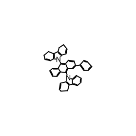 C1=Cc2c(c3c(n2-c2c4ccccc4c(-n4c5c(c6ccccc64)CCC=C5)c4cc(-c5ccccc5)ccc24)C=CCC3)CC1